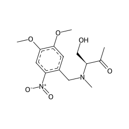 COc1cc(CN(C)[C@@H](CO)C(C)=O)c([N+](=O)[O-])cc1OC